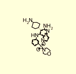 Nc1nn2ccnc2c(Nc2cccc(S(=O)(=O)N3CCOCC3)c2)c1[C@H]1CC[C@H](N)CC1